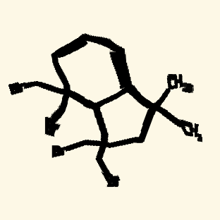 CC1(C)CC(Br)(Br)C2C1=CC=CC2(Br)Br